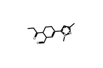 CCC(=O)C1CCC(c2cc(C)nn2C)=CC1C=O